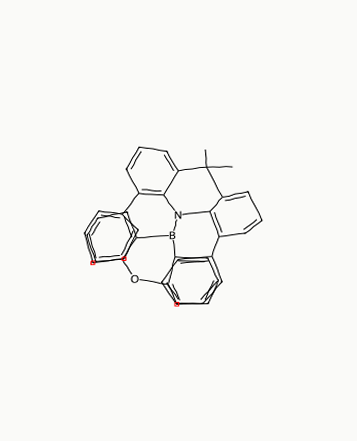 CC1(C)c2cccc(-c3ccccc3)c2N(B2c3ccccc3Oc3ccccc32)c2c(-c3ccccc3)cccc21